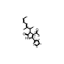 C/C=C\C=C(/C)C(C)C1C(=O)NC(c2cccs2)=C1C(C)=O